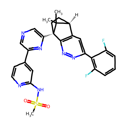 CC1(C)[C@H]2CC[C@]1(c1cncc(-c3ccnc(NS(C)(=O)=O)c3)n1)c1nnc(-c3c(F)cccc3F)cc12